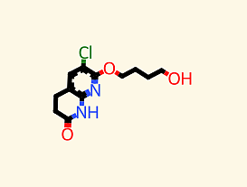 O=C1CCc2cc(Cl)c(OCCCCO)nc2N1